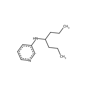 CCCC(CCC)Nc1[c]nccc1